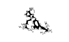 CC(C)NCCCn1c(Sc2cc(Cl)cc(C#CC(C)(C)C)c2)nc2c(N)ncnc21